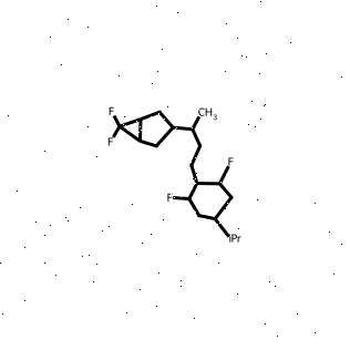 CC(C)C1CC(F)C(CCC(C)C2CC3C(C2)C3(F)F)C(F)C1